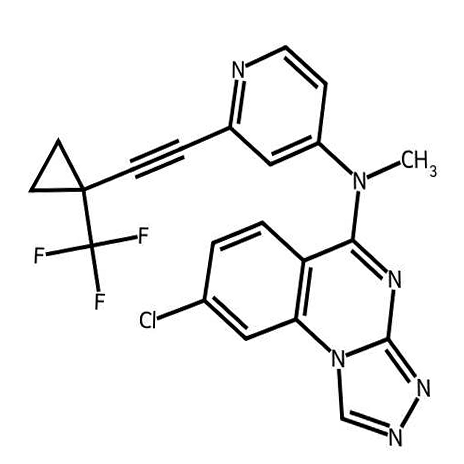 CN(c1ccnc(C#CC2(C(F)(F)F)CC2)c1)c1nc2nncn2c2cc(Cl)ccc12